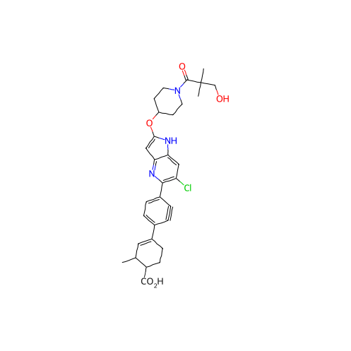 CC1C=C(c2c#cc(-c3nc4cc(OC5CCN(C(=O)C(C)(C)CO)CC5)[nH]c4cc3Cl)cc2)CCC1C(=O)O